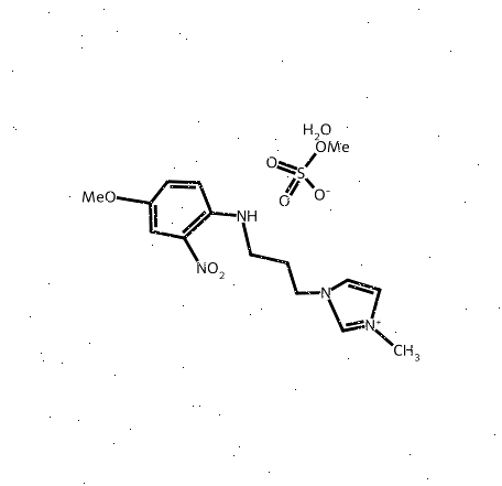 COS(=O)(=O)[O-].COc1ccc(NCCCn2cc[n+](C)c2)c([N+](=O)[O-])c1.O